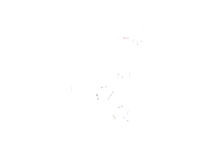 COc1cc(CNC2CCC(N(C)C(=O)O)CC2)cc(-c2ccncc2)c1